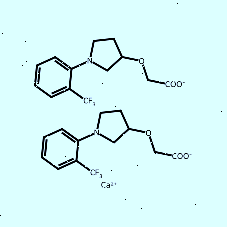 O=C([O-])COC1CCN(c2ccccc2C(F)(F)F)C1.O=C([O-])COC1CCN(c2ccccc2C(F)(F)F)C1.[Ca+2]